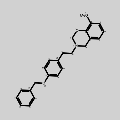 COc1cccc2c1OCN(CCc1ccc(OCc3ccccc3)cc1)C2